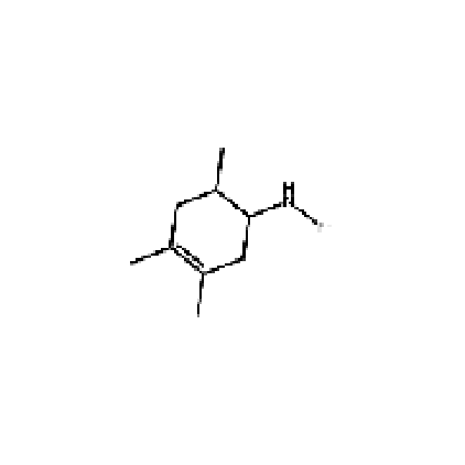 CCNC1CC(C)=C(C)CC1C